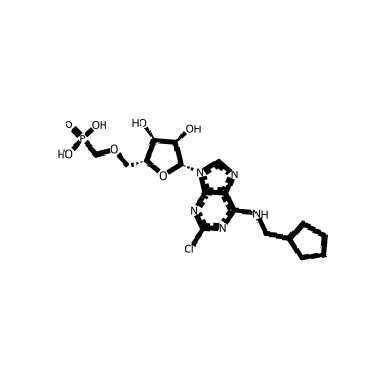 O=P(O)(O)COC[C@H]1O[C@@H](n2cnc3c(NCC4CCCC4)nc(Cl)nc32)[C@H](O)[C@@H]1O